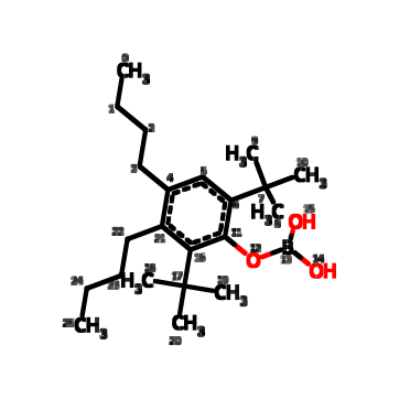 CCCCc1cc(C(C)(C)C)c(OB(O)O)c(C(C)(C)C)c1CCCC